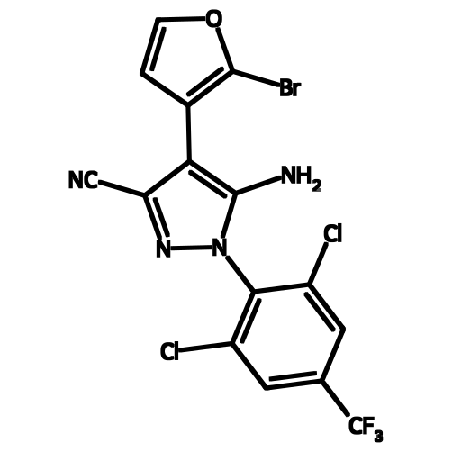 N#Cc1nn(-c2c(Cl)cc(C(F)(F)F)cc2Cl)c(N)c1-c1ccoc1Br